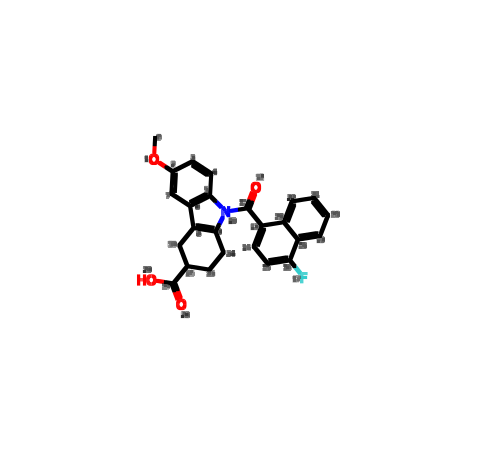 COc1ccc2c(c1)c1c(n2C(=O)c2ccc(F)c3ccccc23)CCC(C(=O)O)C1